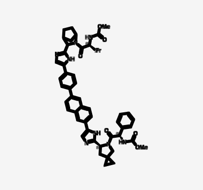 COC(=O)N[C@H](C(=O)N1CC2(CC2)C[C@H]1c1ncc(-c2ccc3cc(-c4ccc(-c5cnc(C6C7CCC(C7)N6C(=O)[C@@H](NC(=O)OC)C(C)C)[nH]5)cc4)ccc3c2)[nH]1)c1ccccc1